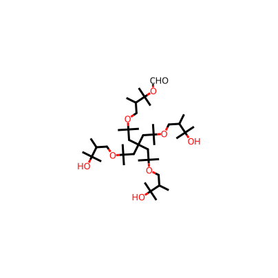 CC(COC(C)(C)CC(CC(C)(C)OCC(C)C(C)(C)O)(CC(C)(C)OCC(C)C(C)(C)O)CC(C)(C)OCC(C)C(C)(C)OC=O)C(C)(C)O